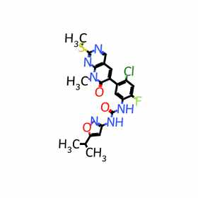 CSc1ncc2cc(-c3cc(NC(=O)Nc4cc(C(C)C)on4)c(F)cc3Cl)c(=O)n(C)c2n1